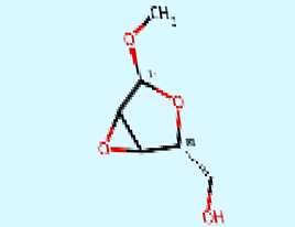 CO[C@H]1O[C@H](CO)C2OC21